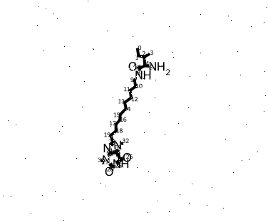 CCC(C)C(N)C(=O)NCCCCCCCCCCCc1nc2c(c(=O)[nH]c(=O)n2C)n1C